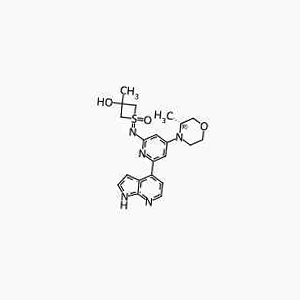 C[C@@H]1COCCN1c1cc(N=S2(=O)CC(C)(O)C2)nc(-c2ccnc3[nH]ccc23)c1